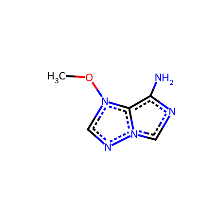 COn1cnn2cnc(N)c12